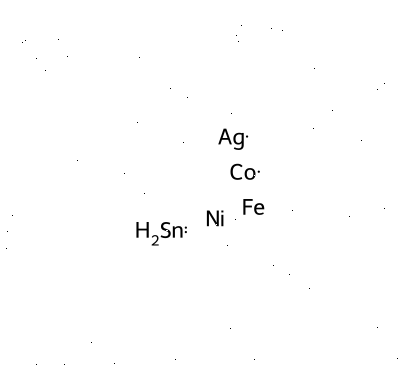 [Ag].[Co].[Fe].[Ni].[SnH2]